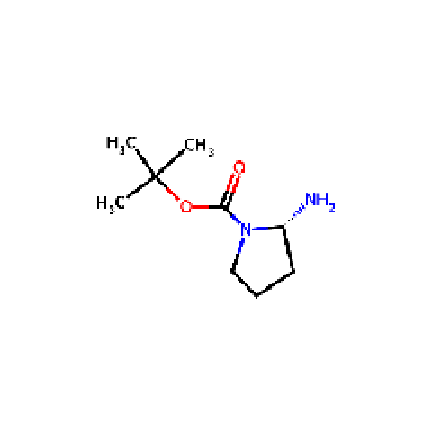 CC(C)(C)OC(=O)N1CCC[C@H]1N